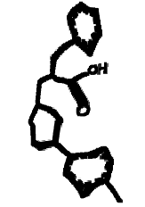 Cc1ccc(C2CCC(CC(Cc3ccccc3)C(=O)O)C2)cc1